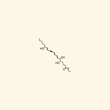 CCCCC[C@H](O)/C=C/C#C/C=C/C=C/[C@@H](O)[C@@H](O)CCCC(=O)OCC